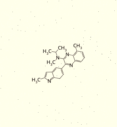 CC1=CC2=CC(c3nc4cccc(C)c4nc3N(C)C(C)C)=CCC2=N1